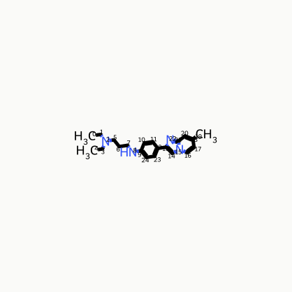 CCN(CC)CCCNc1ccc(-c2cn3ccc(C)cc3n2)cc1